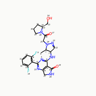 CC1C(Nc2nc(-c3c(F)cccc3F)nc3c2C(=O)NC3)C=NN1CC(=O)N1CCC[C@H]1CO